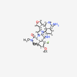 CCOc1cc(CC)cc(C(Nc2ccc3c(N)nccc3c2)c2nc(-c3ccoc3)cn2CC(=O)N(C)C)c1F